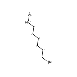 CCCCCCCCCCNO